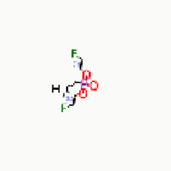 CCP(=O)(O/C=C/F)O/C=C/F